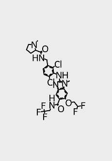 CN1CCCC1C(=O)NCc1ccc(Cl)c(Nc2nc3cc(C(=O)NCC(F)(F)F)c(OCC(F)F)cc3n2C)c1Cl